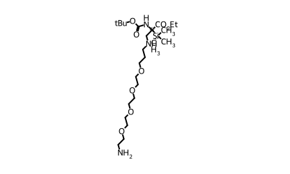 CCOC(=O)[C@@](CNCCCOCCOCCOCCOCCN)(NC(=O)OC(C)(C)C)[Si](C)(C)C